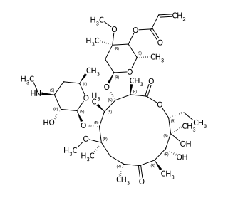 C=CC(=O)OC1[C@H](C)O[C@@H](O[C@H]2[C@H](C)[C@@H](O[C@@H]3O[C@H](C)C[C@H](NC)[C@H]3O)[C@](C)(OC)C[C@@H](C)C(=O)[C@H](C)[C@@H](O)[C@](C)(O)[C@@H](CC)OC(=O)[C@@H]2C)C[C@@]1(C)OC